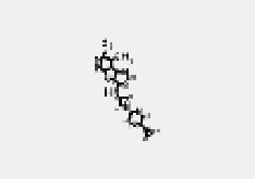 Cc1nnc2sc3c(NC4CN(c5cnc(C6CC6)cn5)C4)ncnc3c2c1C